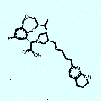 CC(C)[C@@H]1COCc2cc(F)cc([C@@H](C(=O)O)N3CC[C@@H](CCCCCc4ccc5c(n4)NCCC5)C3)c2O1